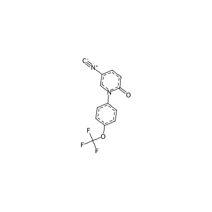 [C-]#[N+]c1ccc(=O)n(-c2ccc(OC(F)(F)F)cc2)c1